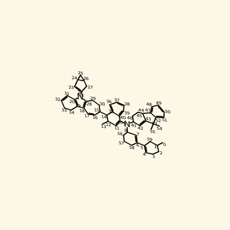 CC1CCC=C(C2=CC(N(C3=CC(C)C(C4C=Cc5c6c(n(C7=CC8CC8C7)c5CC4)C=CCC6)c4ccccc43)C3C=C4C(CC3)c3ccccc3C4(C)C)CCC2)C1